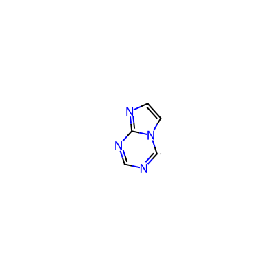 [c]1ncnc2nccn12